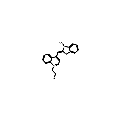 CC(=O)CC[n+]1ccc(/C=C2\Sc3ccccc3N2C)c2ccccc21